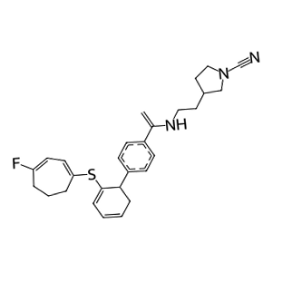 C=C(NCCC1CCN(C#N)C1)c1ccc(C2CC=CC=C2SC2=CC=C(F)CCC2)cc1